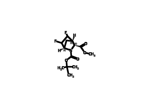 COC(=O)[C@H]1[C@H]2C[C@H](C(F)C2F)N1C(=O)OC(C)(C)C